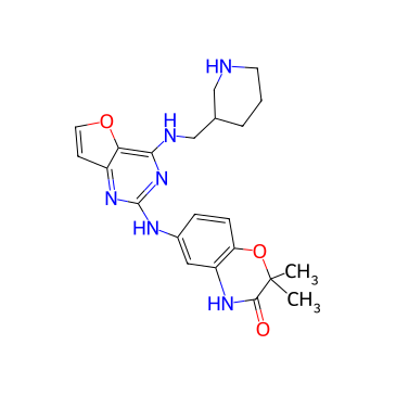 CC1(C)Oc2ccc(Nc3nc(NCC4CCCNC4)c4occc4n3)cc2NC1=O